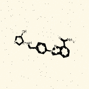 NC(=O)c1cccc2cn(-c3ccc(CN[C@@H]4CSC[C@H]4O)cc3)nc12